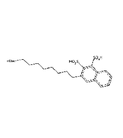 CCCCCCCCCCCCCCCCCCc1cc2ccccc2c(S(=O)(=O)O)c1S(=O)(=O)O